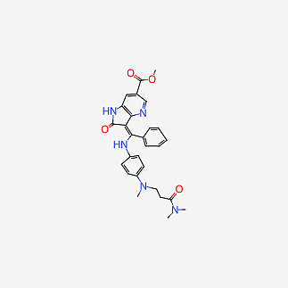 COC(=O)c1cnc2c(c1)NC(=O)/C2=C(\Nc1ccc(N(C)CCC(=O)N(C)C)cc1)c1ccccc1